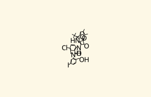 Cc1cc([C@H](Nc2c(Nc3ccc(Cl)c4c3C(=O)N(c3cc(I)ccc3CO)C4)c(=O)c2=O)C(C)(C)C)oc1C